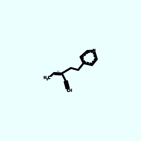 C#C/C(=C\C)CCc1ccncc1